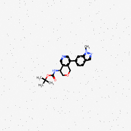 Cn1ncc2ccc(-c3cncc4c3COCC4NC(=O)OC(C)(C)C)cc21